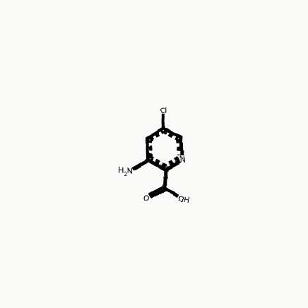 Nc1cc(Cl)cnc1C(=O)O